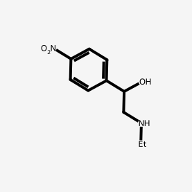 CCNCC(O)c1ccc([N+](=O)[O-])cc1